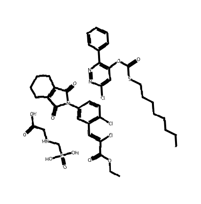 CCCCCCCCSC(=O)Oc1cc(Cl)nnc1-c1ccccc1.CCOC(=O)/C(Cl)=C/c1cc(N2C(=O)C3=C(CCCC3)C2=O)ccc1Cl.O=C(O)CNCP(=O)(O)O